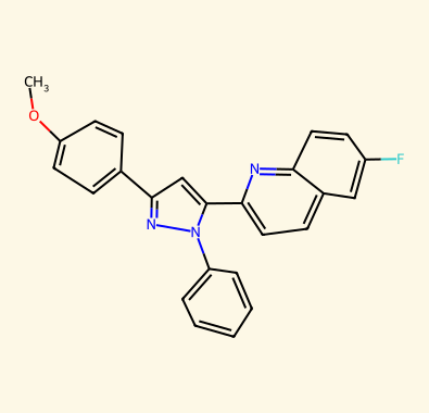 COc1ccc(-c2cc(-c3ccc4cc(F)ccc4n3)n(-c3ccccc3)n2)cc1